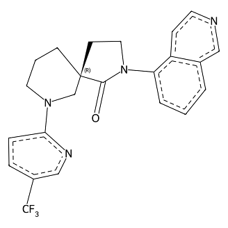 O=C1N(c2cccc3cnccc23)CC[C@@]12CCCN(c1ccc(C(F)(F)F)cn1)C2